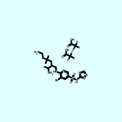 CC(N)C(CNc1ncc(S(=O)(=O)Nc2ncns2)cc1Br)CC(C)(C)CCN.O=C(O)C(F)(F)F.O=C(O)C(F)(F)F